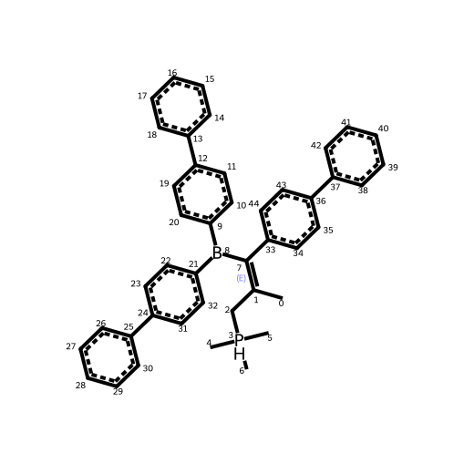 C/C(C[PH](C)(C)C)=C(/B(c1ccc(-c2ccccc2)cc1)c1ccc(-c2ccccc2)cc1)c1ccc(-c2ccccc2)cc1